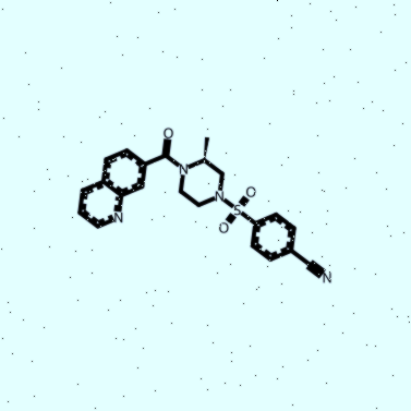 C[C@H]1CN(S(=O)(=O)c2ccc(C#N)cc2)CCN1C(=O)c1ccc2cccnc2c1